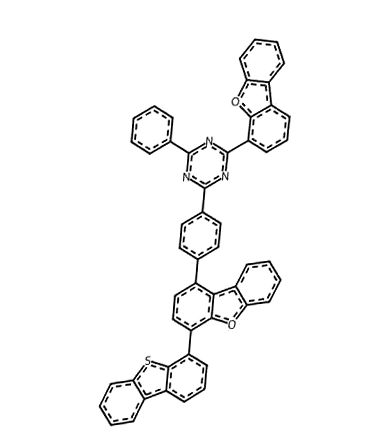 c1ccc(-c2nc(-c3ccc(-c4ccc(-c5cccc6c5sc5ccccc56)c5oc6ccccc6c45)cc3)nc(-c3cccc4c3oc3ccccc34)n2)cc1